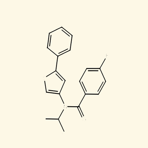 CC(C)N(C(=O)c1ccc(F)cc1)c1csc(-c2ccccc2)c1